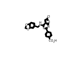 O=C(O)c1ccc(-c2nc(NCc3ccc4c(c3)OCO4)c3cc(Cl)sc3n2)cc1